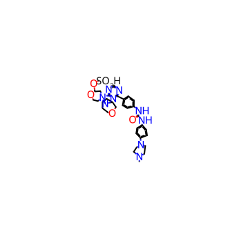 CN1CCN(c2ccc(NC(=O)Nc3ccc(-c4ncnc([N+]5(N6C7CCC6COC7)CCOC(OS(=O)(=O)O)C5)n4)cc3)cc2)CC1